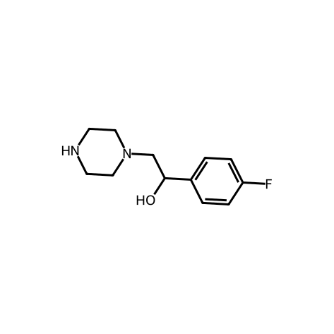 OC(CN1CCNCC1)c1ccc(F)cc1